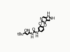 CC(C)(C)c1cc(NC(=O)Nc2ccc(ON3C=NC=C4NNC=C43)c(Cl)c2)no1